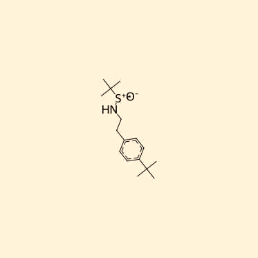 CC(C)(C)c1ccc(CCN[S@+]([O-])C(C)(C)C)cc1